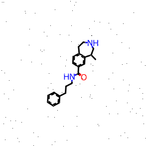 CC1CNCCc2ccc(C(=O)NCCCc3ccccc3)cc21